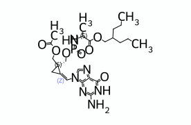 CCCC(CCC)COC(=O)[C@H](C)N[PH](=O)OC[C@@]1(COC(C)=O)C/C1=C/n1cnc2c(=O)[nH]c(N)nc21